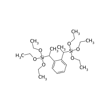 CCO[Si](OCC)(OCC)C(C)c1ccccc1C(C)[Si](OCC)(OCC)OCC